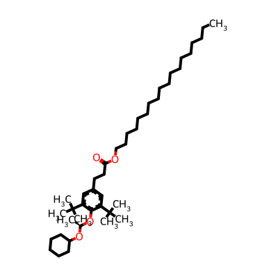 CCCCCCCCCCCCCCCCCCOC(=O)CCc1cc(C(C)(C)C)c(O[C@H](C)OC2CCCCC2)c(C(C)(C)C)c1